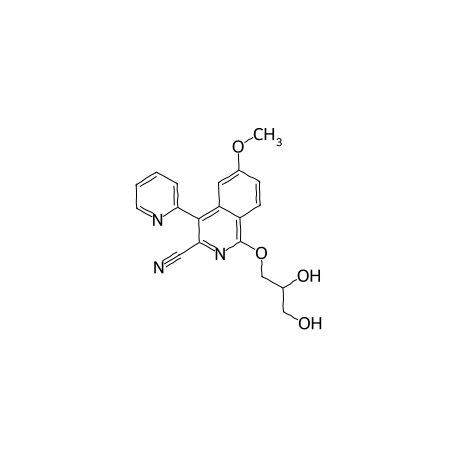 COc1ccc2c(OCC(O)CO)nc(C#N)c(-c3ccccn3)c2c1